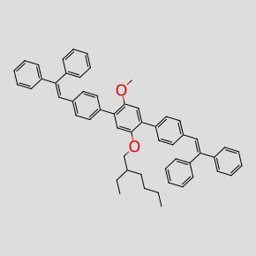 CCCCC(CC)COc1cc(-c2ccc(C=C(c3ccccc3)c3ccccc3)cc2)c(OC)cc1-c1ccc(C=C(c2ccccc2)c2ccccc2)cc1